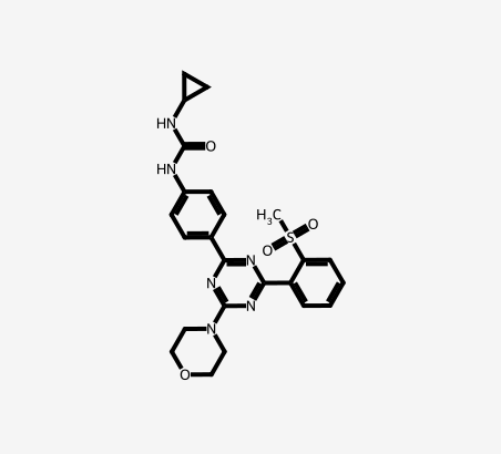 CS(=O)(=O)c1ccccc1-c1nc(-c2ccc(NC(=O)NC3CC3)cc2)nc(N2CCOCC2)n1